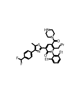 CCc1cccc(CC)c1-n1c(CC(C)C)c(C(=O)N2CCNCC2)cc(-c2nc(-c3ccc(C(F)F)cc3)c(C)s2)c1=O